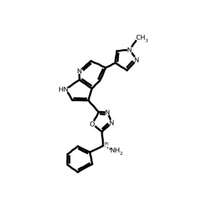 Cn1cc(-c2cnc3[nH]cc(-c4nnc([C@H](N)c5ccccc5)o4)c3c2)cn1